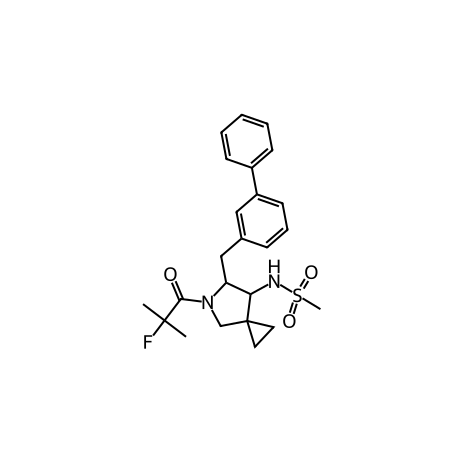 CC(C)(F)C(=O)N1CC2(CC2)C(NS(C)(=O)=O)C1Cc1cccc(-c2ccccc2)c1